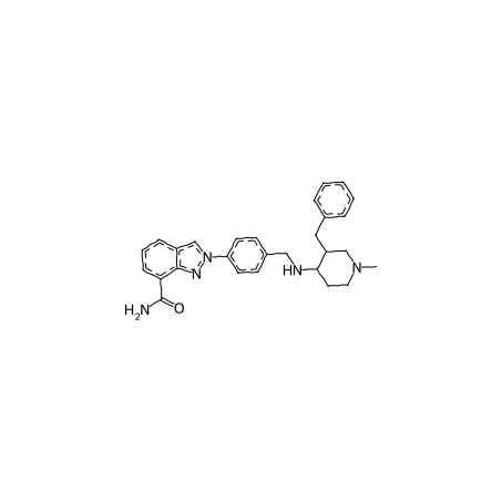 CN1CCC(NCc2ccc(-n3cc4cccc(C(N)=O)c4n3)cc2)C(Cc2ccccc2)C1